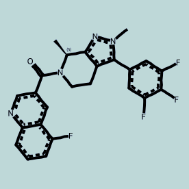 C[C@H]1c2nn(C)c(-c3cc(F)c(F)c(F)c3)c2CCN1C(=O)c1cnc2cccc(F)c2c1